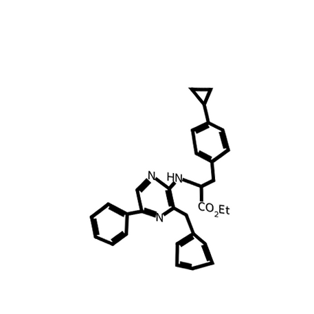 CCOC(=O)C(Cc1ccc(C2CC2)cc1)Nc1ncc(-c2ccccc2)nc1Cc1ccccc1